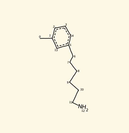 Cc1cc[c]c(CCCCCCN)c1